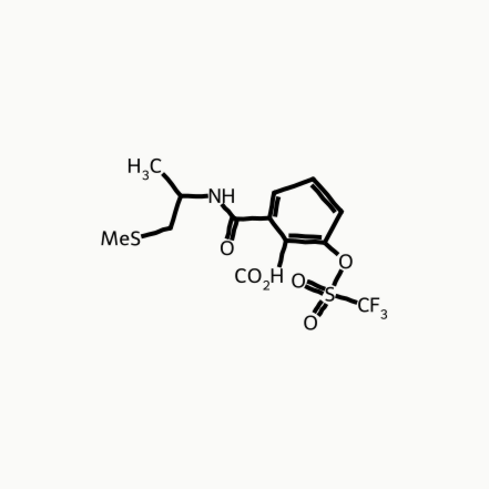 CSCC(C)NC(=O)c1cccc(OS(=O)(=O)C(F)(F)F)c1C(=O)O